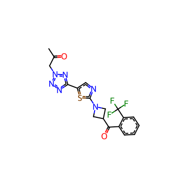 CC(=O)Cn1nnc(-c2cnc(N3CC(C(=O)c4ccccc4C(F)(F)F)C3)s2)n1